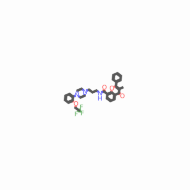 Cc1c(-c2ccccc2)oc2c(C(=O)NCCCN3CCN(c4ccccc4OCC(F)(F)F)CC3)cccc2c1=O